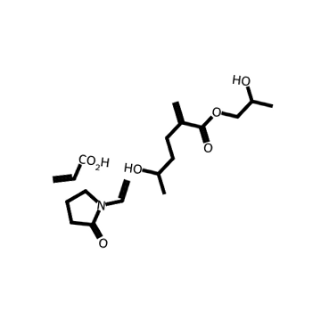 C=C(CCC(C)O)C(=O)OCC(C)O.C=CC(=O)O.C=CN1CCCC1=O